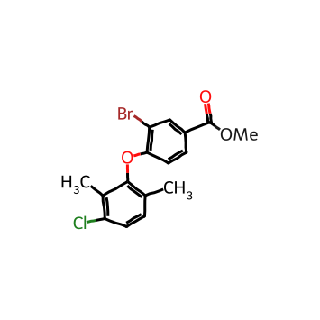 COC(=O)c1ccc(Oc2c(C)ccc(Cl)c2C)c(Br)c1